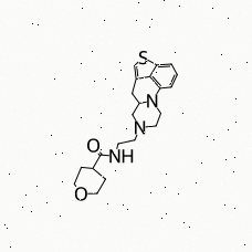 O=C(NCCN1CCN2c3cccc4scc(c34)CC2C1)C1CCOCC1